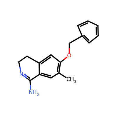 Cc1cc2c(cc1OCc1ccccc1)CCN=C2N